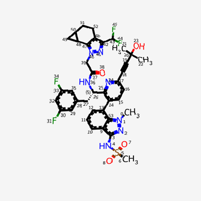 Cn1nc(NS(C)(=O)=O)c2cccc(-c3ccc(C#CC(C)(C)O)nc3[C@H](Cc3cc(F)cc(F)c3)NC(=O)Cn3nc(C(F)F)c4c3C3CC3CC4)c21